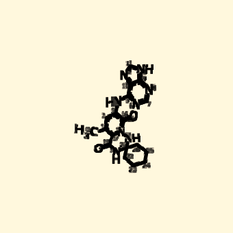 Cc1cc(Nc2ncnc3[nH]cnc23)c(=O)n2c1C(=O)NC1(CCCCC1)N2